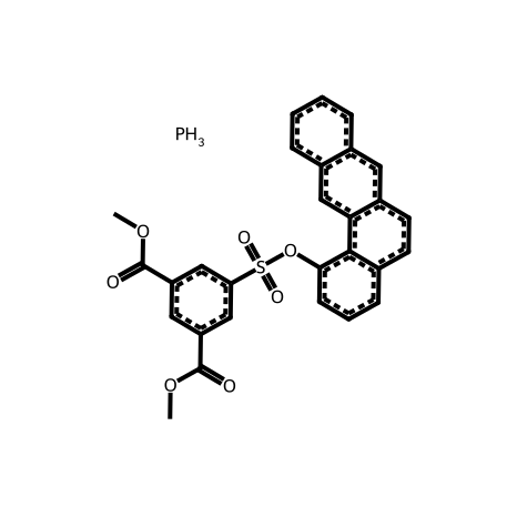 COC(=O)c1cc(C(=O)OC)cc(S(=O)(=O)Oc2cccc3ccc4cc5ccccc5cc4c23)c1.P